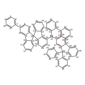 c1ccc(-c2ccc3c(c2)-c2ccccc2C32c3ccccc3-c3c(N(c4ccc5c(c4)C(c4ccccc4)(c4ccccc4)c4ccccc4-5)c4ccccc4-c4ccccc4)cccc32)cc1